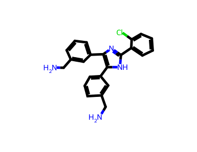 NCc1cccc(-c2nc(-c3ccccc3Cl)[nH]c2-c2cccc(CN)c2)c1